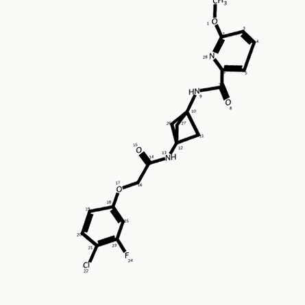 COc1cccc(C(=O)NC23CC(NC(=O)COc4ccc(Cl)c(F)c4)(C2)C3)n1